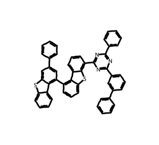 c1ccc(-c2cccc(-c3nc(-c4ccccc4)nc(-c4cccc5c4sc4cccc(-c6cc(-c7ccccc7)cc7sc8ccccc8c67)c45)n3)c2)cc1